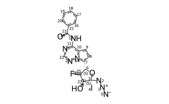 [N-]=[N+]=N[C@]1(I)O[C@@H](c2ccc3c(NC(=O)c4ccccc4)ncnn23)[C@H](F)[C@@H]1O